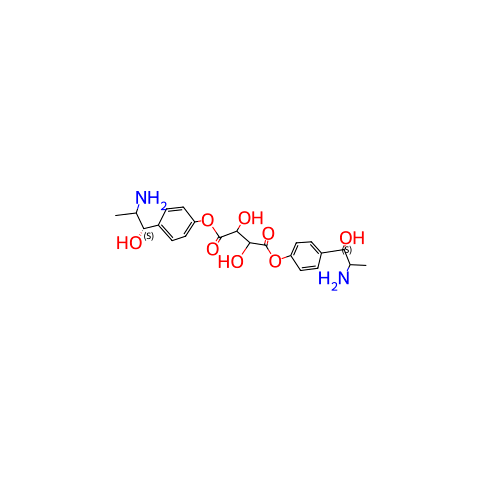 CC(N)[C@@H](O)c1ccc(OC(=O)C(O)C(O)C(=O)Oc2ccc([C@H](O)C(C)N)cc2)cc1